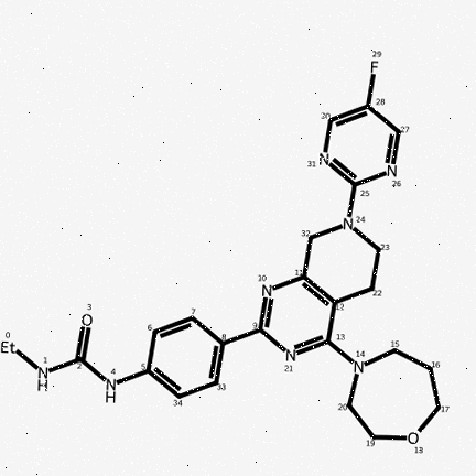 CCNC(=O)Nc1ccc(-c2nc3c(c(N4CCCOCC4)n2)CCN(c2ncc(F)cn2)C3)cc1